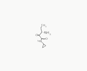 CC[C@H](N)C(=O)C(=O)NC1CC1